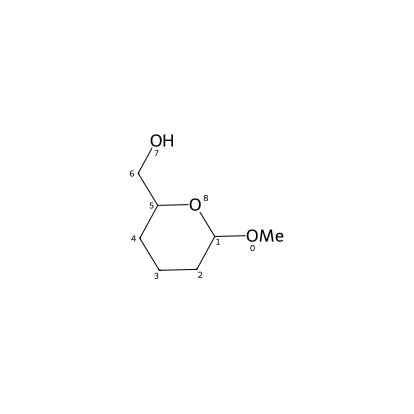 COC1CCCC(CO)O1